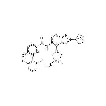 C[C@H]1CN(c2c(NC(=O)c3ccc(=O)n(-c4c(F)cccc4F)n3)ccc3nn(C45CCC(C4)C5)cc23)C[C@@H]1N